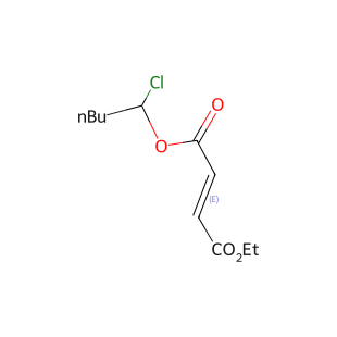 CCCCC(Cl)OC(=O)/C=C/C(=O)OCC